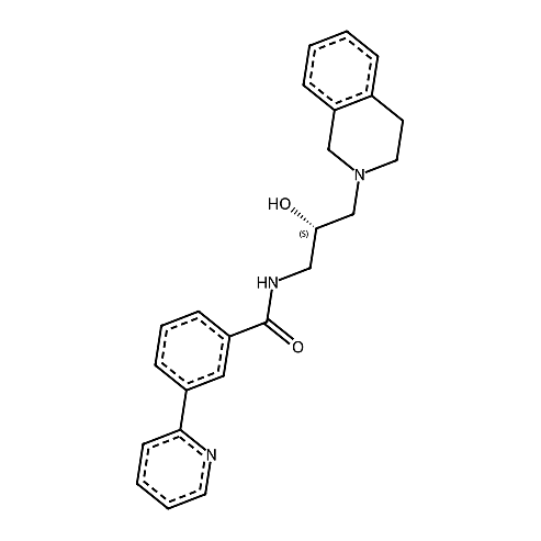 O=C(NC[C@H](O)CN1CCc2ccccc2C1)c1cccc(-c2ccccn2)c1